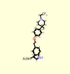 CC(=O)Nc1c[nH]c2ccc(CCOc3ccc(C4(C)CCN(CC(F)(F)F)CC4)cc3)cc12